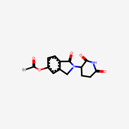 CCC(=O)Oc1ccc2c(c1)CN(C1CCC(=O)NC1=O)C2=O